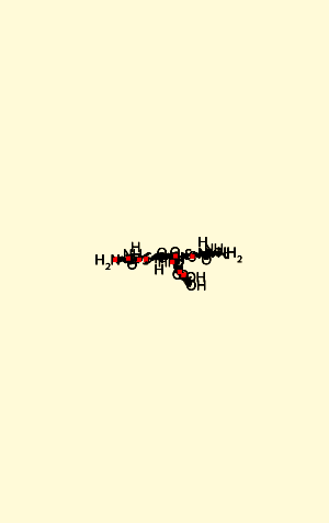 NCCCC(N)C(=O)NCCSSCCNC(=O)CCC(NC(=O)CCC(=O)OC[C@@H](O)CO)C(=O)NCCSSCCNC(=O)C(N)CCCN